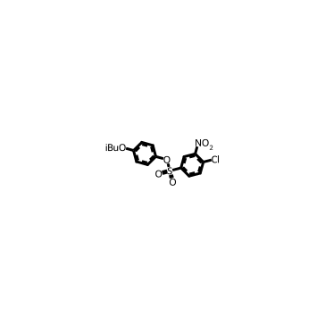 CC(C)COc1ccc(OS(=O)(=O)c2ccc(Cl)c([N+](=O)[O-])c2)cc1